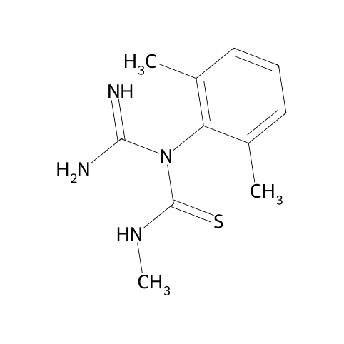 CNC(=S)N(C(=N)N)c1c(C)cccc1C